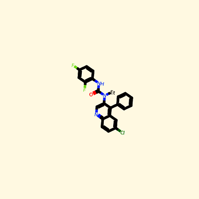 CCN(C(=O)Nc1ccc(F)cc1F)c1cnc2ccc(Cl)cc2c1-c1ccccc1